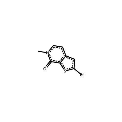 Cn1ccc2cc(Br)sc2c1=O